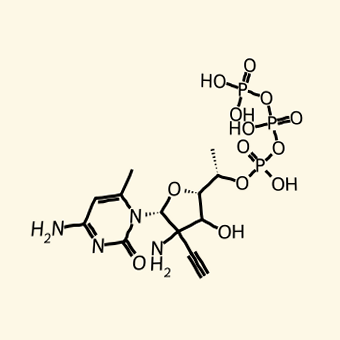 C#CC1(N)C(O)[C@@H]([C@H](C)OP(=O)(O)OP(=O)(O)OP(=O)(O)O)O[C@H]1n1c(C)cc(N)nc1=O